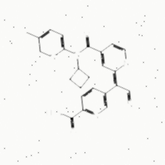 CC1=CC=C(N(C(=O)C2=C/C(=C(/C=N)c3ccc(C(N)=O)nc3)NC=C2)C2CCC2)NC1